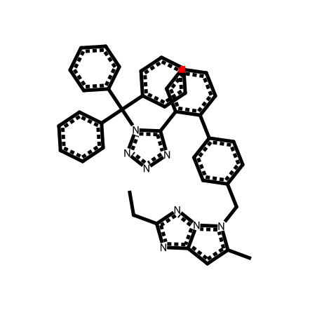 CCc1nc2cc(C)n(Cc3ccc(-c4ccccc4-c4nnnn4C(c4ccccc4)(c4ccccc4)c4ccccc4)cc3)n2n1